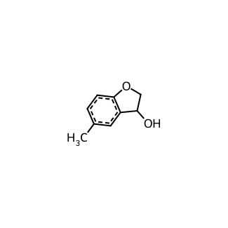 Cc1ccc2c(c1)C(O)CO2